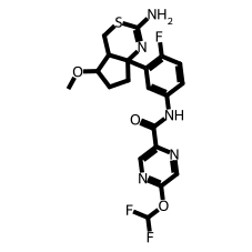 COC1CCC2(c3cc(NC(=O)c4cnc(OC(F)F)cn4)ccc3F)N=C(N)SCC12